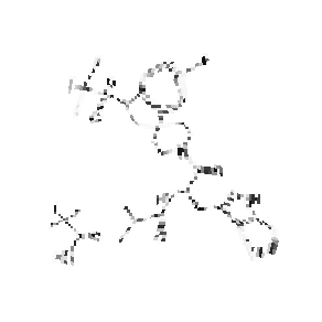 CC(C)C(=O)N[C@H](Cc1c[nH]c2ccccc12)C(=O)N1CCC2(CC1)CN(S(=O)(=O)C(F)(F)F)c1ccc(F)cc12.O=C(O)C(F)(F)F